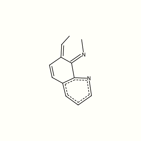 C/C=C1/C=Cc2cccnc2/C1=N/C